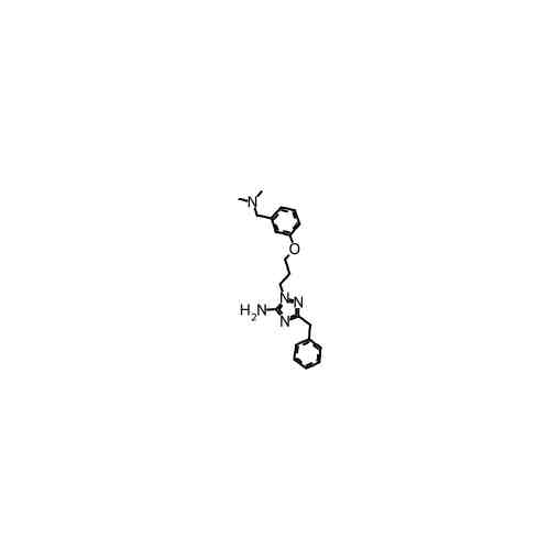 CN(C)Cc1cccc(OCCCn2nc(Cc3ccccc3)nc2N)c1